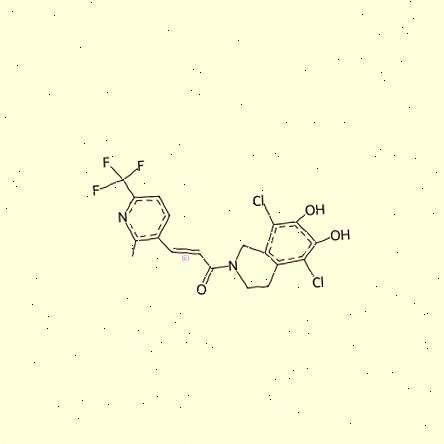 Cc1nc(C(F)(F)F)ccc1/C=C/C(=O)N1CCc2c(Cl)c(O)c(O)c(Cl)c2C1